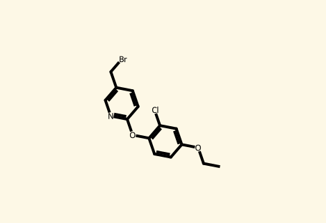 CCOc1ccc(Oc2ccc(CBr)cn2)c(Cl)c1